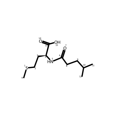 CSCC[C@H](NC(=O)CCC(C)C)C(=O)O